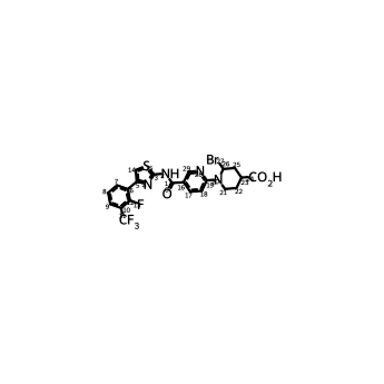 O=C(Nc1nc(-c2cccc(C(F)(F)F)c2F)cs1)c1ccc(N2CCC(C(=O)O)CC2Br)nc1